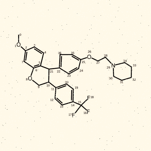 COc1ccc2c(c1)OCC(c1ccc(C(F)(F)F)cc1)C2c1ccc(OCCN2CCCCC2)cc1